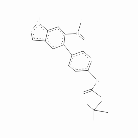 CC(C)(C)OC(=O)Nc1ccc(-c2cc3cn[nH]c3cc2[N+](=O)[O-])cn1